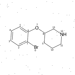 Brc1ccccc1OC1CCCNC1